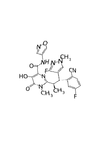 C[C@@H](c1nc(C(=O)Nc2cnoc2)c(O)c(=O)n1C)[C@@H](c1cc(F)ccc1C#N)c1cn(C)nc1F